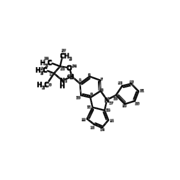 CC1(C)NB(c2ccc3c(c2)c2ccccc2n3-c2ccccc2)OC1(C)C